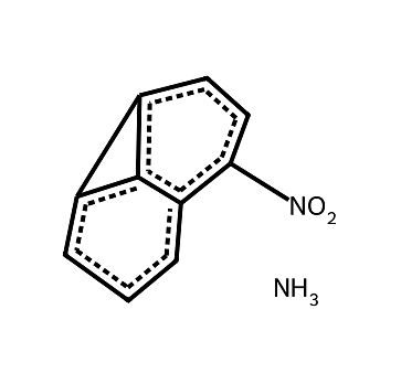 N.O=[N+]([O-])c1ccc2c3c-2cccc13